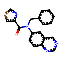 O=C(c1cscn1)N(Cc1ccccc1)c1ccc2ncncc2c1